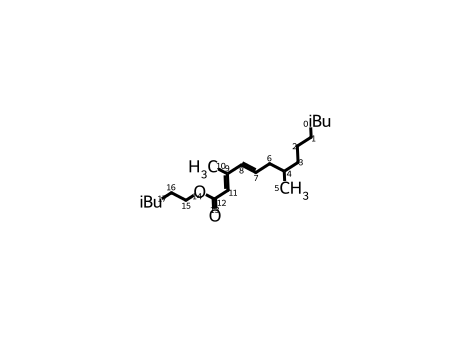 CCC(C)CCCC(C)CC=CC(C)=CC(=O)OCCC(C)CC